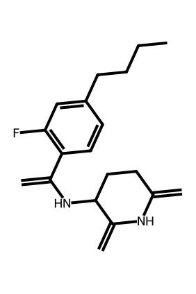 C=C1CCC(NC(=C)c2ccc(CCCC)cc2F)C(=C)N1